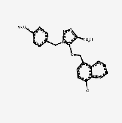 CCOC(=O)c1nnn(Cc2ccc(OC)cc2)c1OCc1ccc(Cl)c2ccccc12